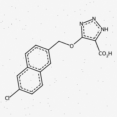 O=C(O)c1[nH]nnc1OCc1ccc2cc(Cl)ccc2c1